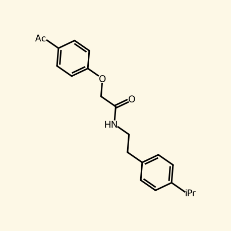 CC(=O)c1ccc(OCC(=O)NCCc2ccc(C(C)C)cc2)cc1